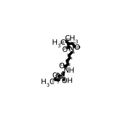 CC(C)CP(=O)(O)CCNC(=O)CCCCCN1C(=O)CC(C(C)C)C1=O